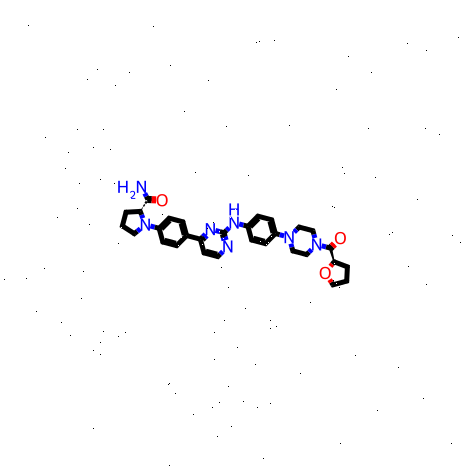 NC(=O)[C@H]1CCCN1c1ccc(-c2ccnc(Nc3ccc(N4CCN(C(=O)[C@H]5CCCO5)CC4)cc3)n2)cc1